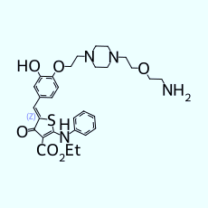 CCOC(=O)C1=C(Nc2ccccc2)S/C(=C\c2ccc(OCCN3CCN(CCOCCN)CC3)c(O)c2)C1=O